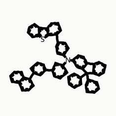 c1ccc(C2(c3ccccc3)c3ccccc3-c3ccc(N(c4ccc(-c5cccc6c5sc5ccccc56)cc4)c4cccc(-c5cccc(-c6cccc7ccccc67)c5)c4)cc32)cc1